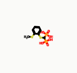 CSc1ccccc1SC(P(=O)(O)O)P(=O)(O)O